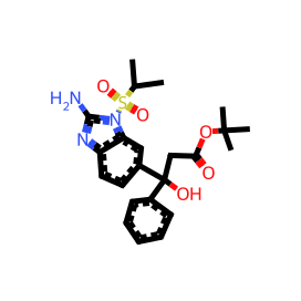 CC(C)S(=O)(=O)n1c(N)nc2ccc(C(O)(CC(=O)OC(C)(C)C)c3ccccc3)cc21